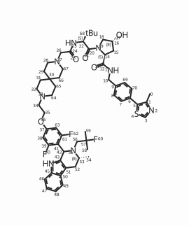 Cc1ncsc1-c1ccc(CNC(=O)[C@@H]2C[C@@H](O)CN2C(=O)[C@@H](NC(=O)CN2CCC3(CCN(CCOc4cc(F)c(C5c6[nH]c7ccccc7c6C[C@@H](C)N5CC(C)(C)F)c(F)c4)CC3)CC2)C(C)(C)C)cc1